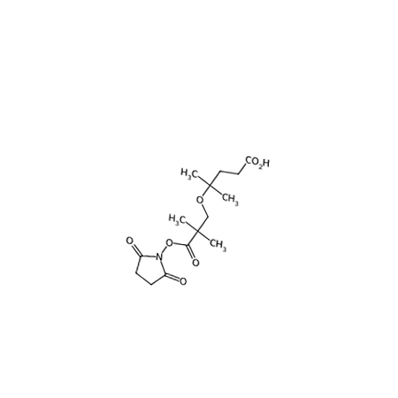 CC(C)(CCC(=O)O)OCC(C)(C)C(=O)ON1C(=O)CCC1=O